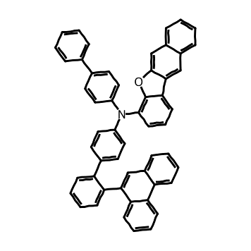 c1ccc(-c2ccc(N(c3ccc(-c4ccccc4-c4cc5ccccc5c5ccccc45)cc3)c3cccc4c3oc3cc5ccccc5cc34)cc2)cc1